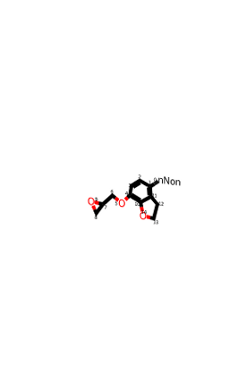 CCCCCCCCCc1ccc(OCC2CO2)c2c1CCO2